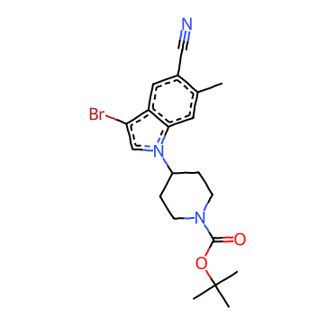 Cc1cc2c(cc1C#N)c(Br)cn2C1CCN(C(=O)OC(C)(C)C)CC1